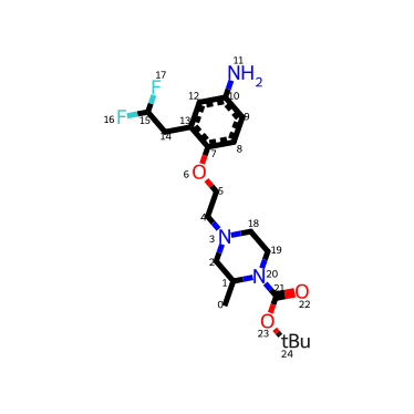 CC1CN(CCOc2ccc(N)cc2CC(F)F)CCN1C(=O)OC(C)(C)C